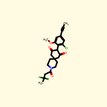 CC#Cc1cc(Cl)c(C2C(=O)CC3(CCN(C(=O)CC(C)(F)F)CC3)CC2=O)c(OC)c1